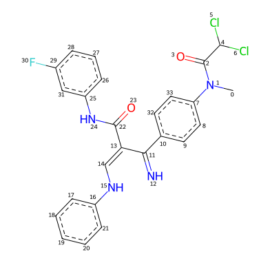 CN(C(=O)C(Cl)Cl)c1ccc(C(=N)/C(=C\Nc2ccccc2)C(=O)Nc2cccc(F)c2)cc1